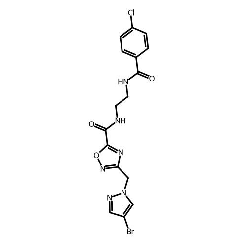 O=C(NCCNC(=O)c1nc(Cn2cc(Br)cn2)no1)c1ccc(Cl)cc1